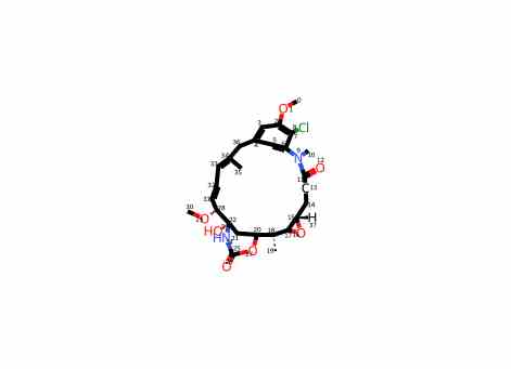 COc1cc2cc(c1Cl)N(C)C(=O)CC[C@@H]1OC1[C@H](C)C1C[C@@](O)(NC(=O)O1)[C@H](OC)/C=C/C=C(\C)C2